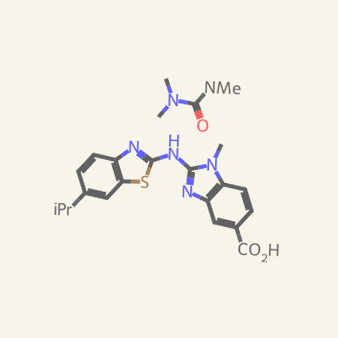 CC(C)c1ccc2nc(Nc3nc4cc(C(=O)O)ccc4n3C)sc2c1.CNC(=O)N(C)C